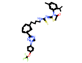 Cc1ccc(C(C)C)c(N2C(=O)CS/C2=N\C(=S)NCCCCc2cccc(-c3ncn(-c4ccc(OC(F)(F)F)cc4)n3)c2)c1